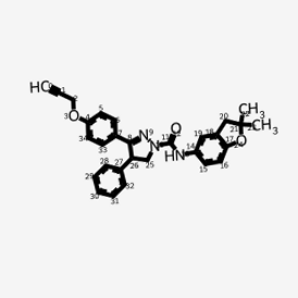 C#CCOc1ccc(C2=NN(C(=O)Nc3ccc4c(c3)CC(C)(C)O4)CC2c2ccccc2)cc1